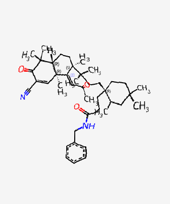 CC(=O)/C=C1/[C@@]2(C)C=C(C#N)C(=O)C(C)(C)[C@@H]2CC[C@@]1(C)C(C)(C)CC[C@@]1(CCC(=O)NCc2ccccc2)CCC(C)(C)CC1C